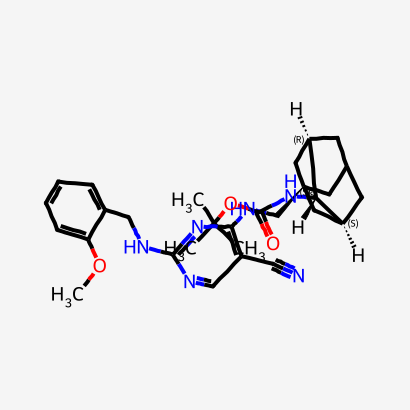 COc1ccccc1CNc1ncc(C#N)c(NC[C@]23CC4C[C@H](C2)[C@@H](NC(=O)OC(C)(C)C)[C@@H](C4)C3)n1